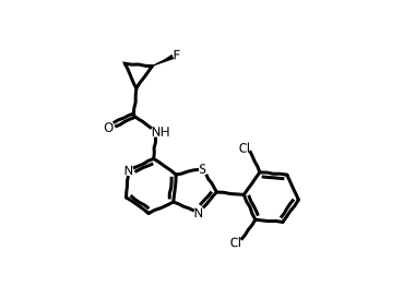 O=C(Nc1nccc2nc(-c3c(Cl)cccc3Cl)sc12)C1C[C@H]1F